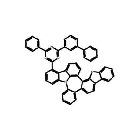 c1ccc(-c2cccc(-c3nc(-c4ccccc4)nc(-c4cccc5c4c4cccc6c4n5-c4ccccc4-c4ccc5c(oc7ccccc75)c4-6)n3)c2)cc1